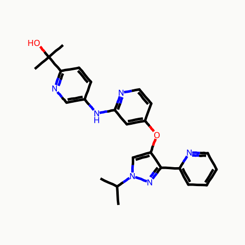 CC(C)n1cc(Oc2ccnc(Nc3ccc(C(C)(C)O)nc3)c2)c(-c2ccccn2)n1